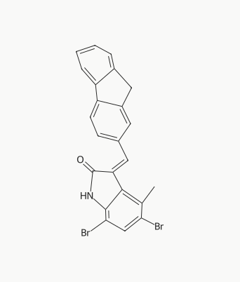 Cc1c(Br)cc(Br)c2c1C(=Cc1ccc3c(c1)Cc1ccccc1-3)C(=O)N2